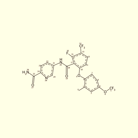 Cc1cc(OC(F)(F)F)ccc1Oc1ccc(C(F)(F)F)c(F)c1C(=O)Nc1ccc(C(N)=O)nc1